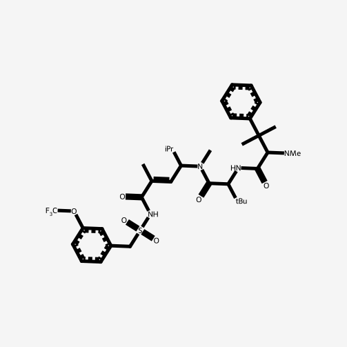 CNC(C(=O)NC(C(=O)N(C)C(C=C(C)C(=O)NS(=O)(=O)Cc1cccc(OC(F)(F)F)c1)C(C)C)C(C)(C)C)C(C)(C)c1ccccc1